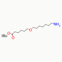 CC(C)(C)OC(=O)CCCCCOCCCCCCCN